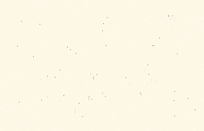 COC(=O)CCOC(=O)COc1nc(-c2ccc(F)cc2F)n(C)n1